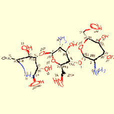 N[C@H]1[C@H](O[C@H]2[C@H](O)[C@@H](N)[C@H](O[C@@H]([C@H](O)[C@@H](N)C=O)[C@H](O)CO)O[C@@H]2CO)O[C@H](CO)[C@@H](O)[C@@H]1O